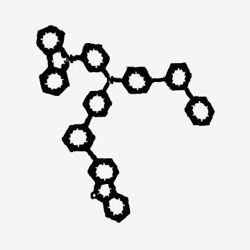 c1ccc(-c2cccc(-c3ccc(N(c4ccc(-c5cccc(-c6ccc7c(c6)oc6ccccc67)c5)cc4)c4cccc(-n5c6ccccc6c6ccccc65)c4)cc3)c2)cc1